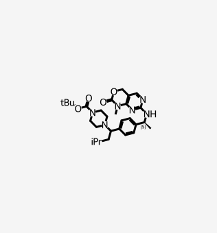 CC(C)CC(c1ccc([C@H](C)Nc2ncc3c(n2)N(C)C(=O)OC3)cc1)N1CCN(C(=O)OC(C)(C)C)CC1